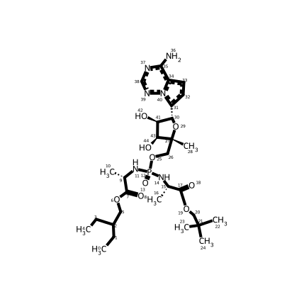 CCC(CC)COC(=O)[C@H](C)NP(=O)(N[C@@H](C)C(=O)OCC(C)(C)C)OC[C@@]1(C)O[C@@H](c2ccc3c(N)ncnn23)[C@H](O)[C@@H]1O